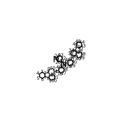 C1=C2c3ccccc3-c3cccc(c32)C(c2cccc(N(c3cccnc3)c3cccc(-c4ccc5c6c(cccc46)-c4ccccc4-5)c3)c2)C1